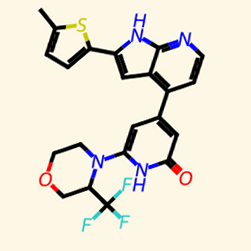 Cc1ccc(-c2cc3c(-c4cc(N5CCOCC5C(F)(F)F)[nH]c(=O)c4)ccnc3[nH]2)s1